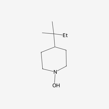 CCC(C)(C)C1CCN(O)CC1